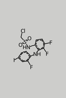 O=S(=O)(CCl)Nc1ccc(F)c(F)c1Nc1ccc(I)cc1F